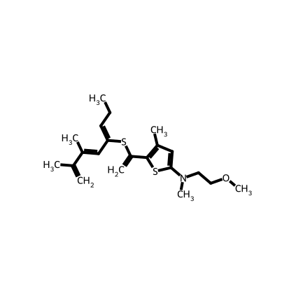 C=C(C)/C(C)=C/C(=C/CC)SC(=C)c1sc(N(C)CCOC)cc1C